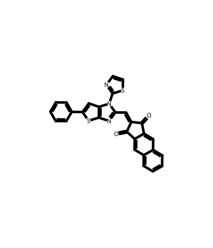 O=C1C(=Cc2nc3sc(-c4ccccc4)cc3n2-c2nccs2)C(=O)c2cc3ccccc3cc21